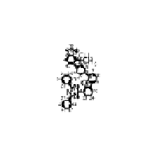 CC1(C)c2cc(-c3cccc4c3oc3c(-c5nc(-c6ccccc6)nc(-c6ccccc6)n5)cccc34)ccc2-c2ccc3scnc3c21